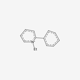 CC[n+]1ccccc1-c1ccccc1